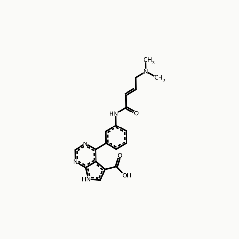 CN(C)C/C=C/C(=O)Nc1cccc(-c2ncnc3[nH]cc(C(=O)O)c23)c1